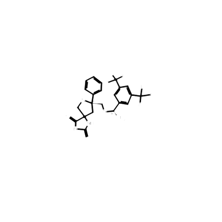 C[C@@H](OC[C@@]1(c2ccccc2)CC2(CN1)NC(=O)NC2=O)c1cc(C(F)(F)F)cc(C(F)(F)F)c1